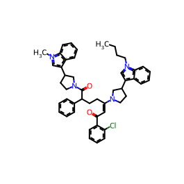 CCCCn1cc(C2CCN(C(=CC(=O)c3ccccc3Cl)CCC(C(=O)N3CCC(c4cn(C)c5ccccc45)C3)c3ccccc3)C2)c2ccccc21